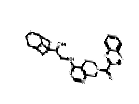 O=C(c1cnc2ccccc2n1)N1CCc2c(ncnc2NCC(O)C23CC4CCCC(C2)C43)C1